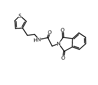 O=C(CN1C(=O)c2ccccc2C1=O)NCCc1ccsc1